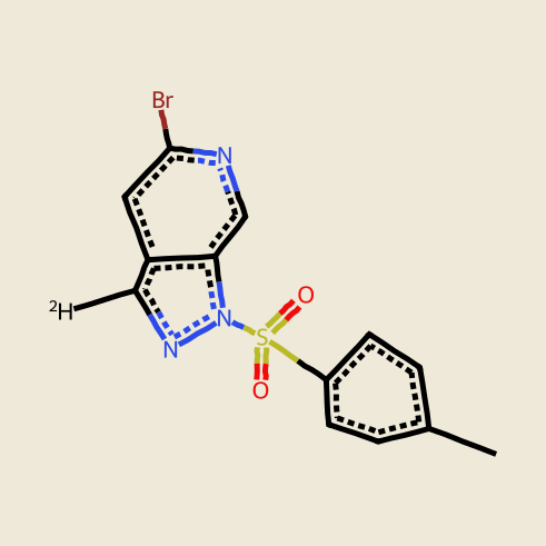 [2H]c1nn(S(=O)(=O)c2ccc(C)cc2)c2cnc(Br)cc12